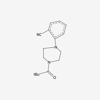 CC(C)(C)C(=O)N1CCN(c2ccccc2C#N)CC1